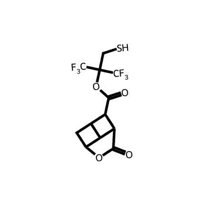 O=C(OC(CS)(C(F)(F)F)C(F)(F)F)C1C2CC3OC(=O)C1C32